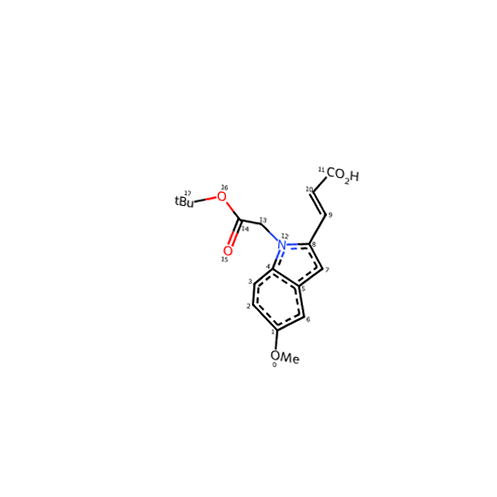 COc1ccc2c(c1)cc(/C=C/C(=O)O)n2CC(=O)OC(C)(C)C